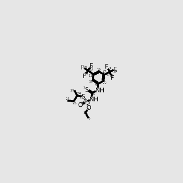 CCOP(=O)(NC(=S)Nc1cc(C(F)(F)F)cc(C(F)(F)F)c1)SC(C)CC